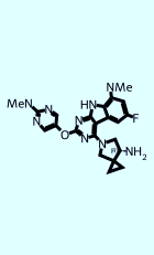 CNc1ncc(Oc2nc(N3C[C@H](N)C4(CC4)C3)c3c(n2)[nH]c2c(NC)cc(F)cc23)cn1